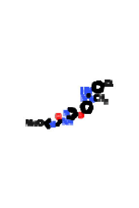 CCc1ccc(Nc2nc3cc(Oc4ccnc(NC(=O)CN5CC(OC)C5)c4)ccc3n2C)cc1